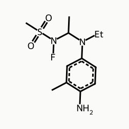 CCN(c1ccc(N)c(C)c1)C(C)N(F)S(C)(=O)=O